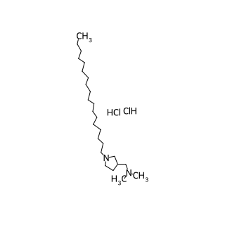 CCCCCCCCCCCCCCCCCCN1CCC(CN(C)C)C1.Cl.Cl